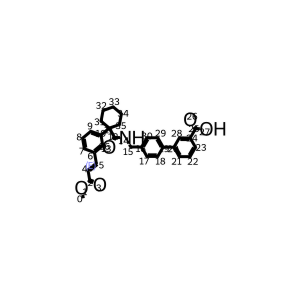 COC(=O)/C=C/c1cccc(C2(C(=O)NCc3ccc(-c4cccc(C(=O)O)c4)cc3)CCCCC2)c1